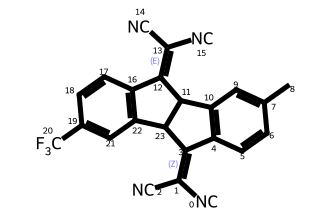 [C-]#[N+]/C(C#N)=C1\c2ccc(C)cc2C2/C(=C(/C#N)[N+]#[C-])c3ccc(C(F)(F)F)cc3C12